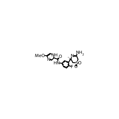 COC1=CNC(C(=O)Nc2ccc(F)c([C@]3(C)CS(=O)(=O)CC(N)=N3)c2)C=N1